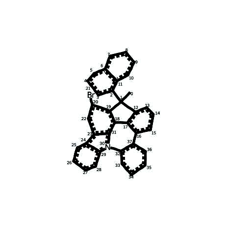 CC1(c2cccc3ccccc23)c2cccc3c2-c2c1c(Br)cc1c4ccccc4n(c21)-c1ccccc1-3